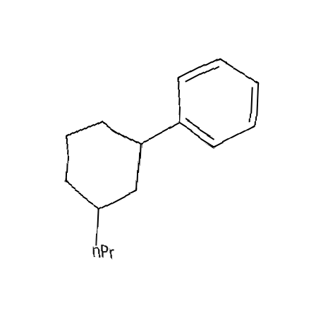 [CH2]CCC1CCCC(c2ccccc2)C1